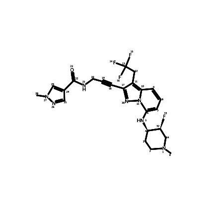 CN1CC[C@@H](Nc2cccc3c(CC(F)(F)F)c(C#CCNC(=O)c4cnn(C)c4)nn23)[C@@H](F)C1